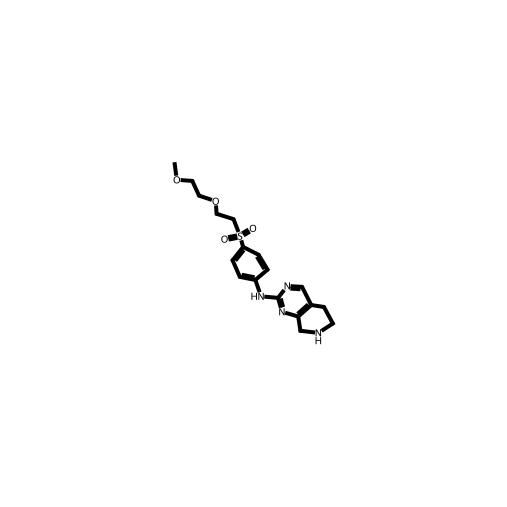 COCCOCCS(=O)(=O)c1ccc(Nc2ncc3c(n2)CNCC3)cc1